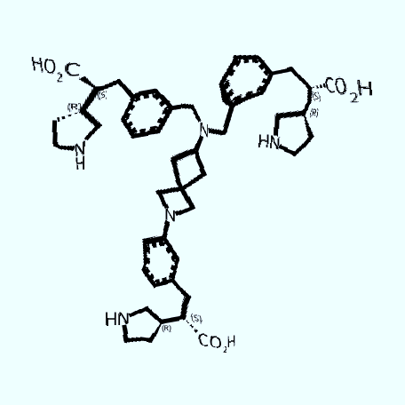 O=C(O)[C@@H](Cc1cccc(CN(Cc2cccc(C[C@H](C(=O)O)[C@H]3CCNC3)c2)C2CC3(C2)CN(c2cccc(C[C@H](C(=O)O)[C@H]4CCNC4)c2)C3)c1)[C@H]1CCNC1